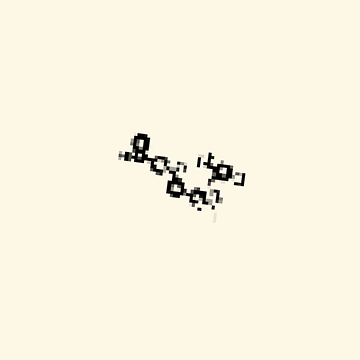 O=C(c1cccc(-c2cnc3c(c2)N(Cc2cc(Cl)ccc2C(F)(F)F)CCN3)c1)N1CCC(c2c[nH]c3ccccc23)CC1